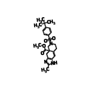 COC(=O)C12Cc3nc(C)[nH]c3C=C1CCN(S(=O)(=O)c1ccc(C(C)(C)C)cc1)C2